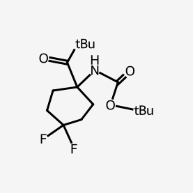 CC(C)(C)OC(=O)NC1(C(=O)C(C)(C)C)CCC(F)(F)CC1